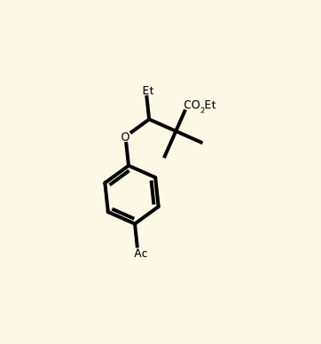 CCOC(=O)C(C)(C)C(CC)Oc1ccc(C(C)=O)cc1